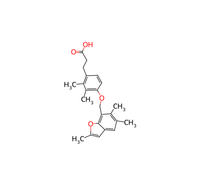 Cc1cc2cc(C)c(C)c(COc3ccc(CCC(=O)O)c(C)c3C)c2o1